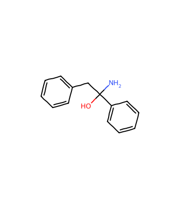 NC(O)(Cc1ccccc1)c1ccccc1